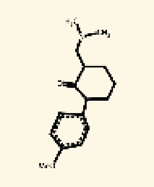 COc1ccc(C2CCCC(CN(C)C)C2=O)cc1